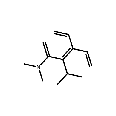 C=CC(C=C)=C(C(=C)N(C)C)C(C)C